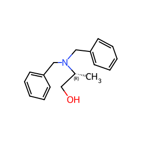 C[C@H](CO)N(Cc1ccccc1)Cc1ccccc1